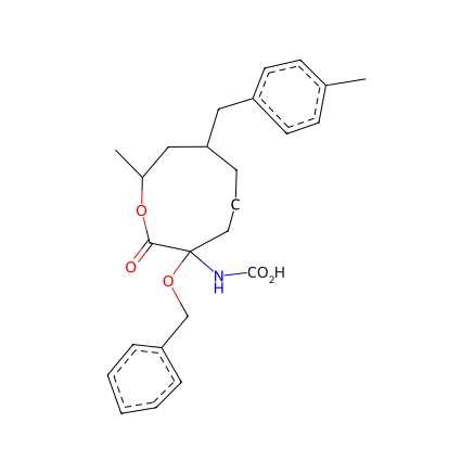 Cc1ccc(CC2CCCC(NC(=O)O)(OCc3ccccc3)C(=O)OC(C)C2)cc1